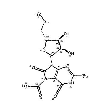 COC[C@H]1O[C@@H](n2c(=O)n(C(N)=O)c3c(=O)[nH]c(N)nc32)[C@H](O)[C@@H]1O